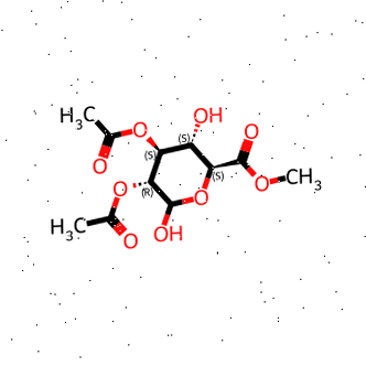 COC(=O)[C@H]1OC(O)[C@H](OC(C)=O)[C@@H](OC(C)=O)[C@@H]1O